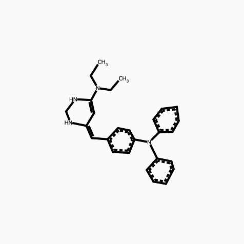 CCN(CC)C1=C/C(=C\c2ccc(N(c3ccccc3)c3ccccc3)cc2)NCN1